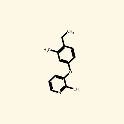 CCc1ccc(Oc2cccnc2C)cc1C